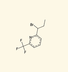 CCC(Br)c1cccc(C(F)(F)F)n1